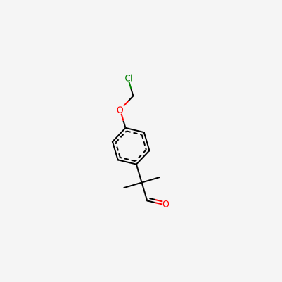 CC(C)(C=O)c1ccc(OCCl)cc1